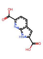 O=C(O)c1ccc2cc(C(=O)O)[nH]c2n1